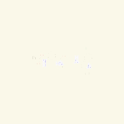 CC(C)S(=O)(=O)Nc1cccc(C(=O)N[C@@H]2CCC[C@H](Nc3cc(C(F)(F)F)nc4ccc(F)cc34)C2)c1